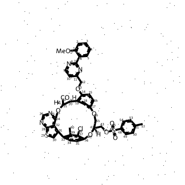 COc1ccccc1-c1nccc(COc2ccc3cc2C[C@H](C(=O)O)Oc2ncnc4scc(c24)-c2ccc(c(Cl)c2C)O[C@@H](COS(=O)(=O)c2ccc(C)cc2)CO3)n1